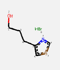 Br.OCCCc1cscn1